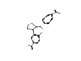 CC(=O)c1ccc([C@H]2Oc3ccc(C(N)=O)cc3[C@H]3CCC[C@H]32)cc1